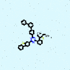 C=Cc1c(/C=C\C)sc2cccc(-c3nc(-c4ccc(-c5cccc(-c6ccccc6)c5)cc4)nc(-c4ccc5c(c4)sc4ccccc45)n3)c12